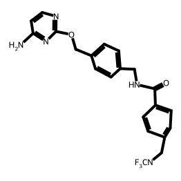 Nc1ccnc(OCc2ccc(CNC(=O)c3ccc(CNC(F)(F)F)cc3)cc2)n1